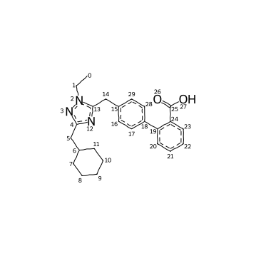 CCn1nc(CC2CCCCC2)nc1Cc1ccc(-c2ccccc2C(=O)O)cc1